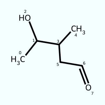 CC(O)C(C)CC=O